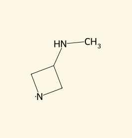 CNC1C[N]C1